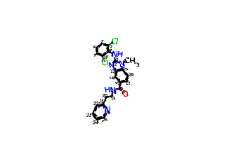 Cn1c(Nc2c(Cl)cccc2Cl)nc2cc(C(=O)NCCc3ccccn3)ccc21